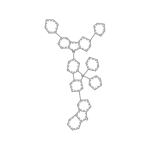 c1ccc(-c2ccc3c(c2)c2cc(-c4ccccc4)ccc2n3-c2ccc3c(c2)[Si](c2ccccc2)(c2ccccc2)c2cc(-c4ccc5oc6ccccc6c5c4)ccc2-3)cc1